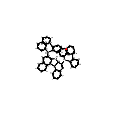 C1=C(N(c2ccccc2)c2ccccc2-c2ccccc2)C2Oc3c(N(c4ccccc4)c4ccccc4-c4ccccc4)cc4ccccc4c3C2c2ccccc21